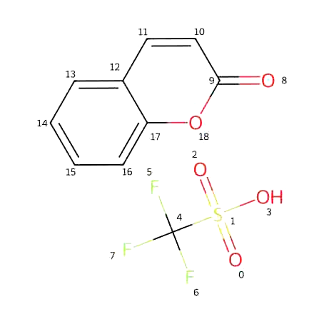 O=S(=O)(O)C(F)(F)F.O=c1ccc2ccccc2o1